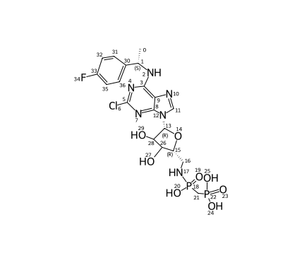 C[C@H](Nc1nc(Cl)nc2c1ncn2[C@@H]1O[C@H](CNP(=O)(O)CP(=O)(O)O)C(O)C1O)c1ccc(F)cc1